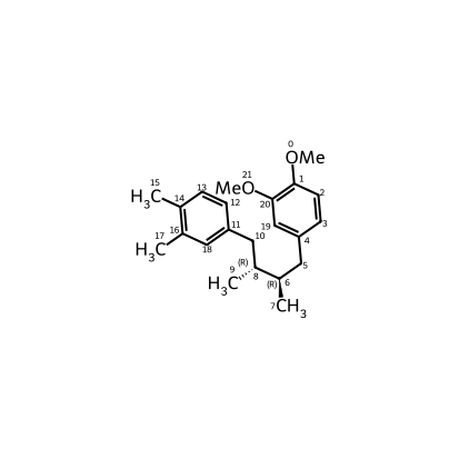 COc1ccc(C[C@@H](C)[C@H](C)Cc2ccc(C)c(C)c2)cc1OC